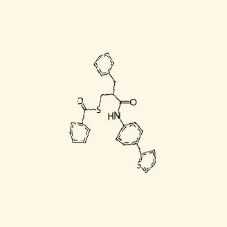 O=C(SCC(Cc1ccccc1)C(=O)Nc1ccc(-c2cccs2)cc1)c1ccccc1